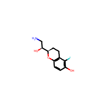 NC[C@H](O)[C@H]1CCc2c(ccc(O)c2F)O1